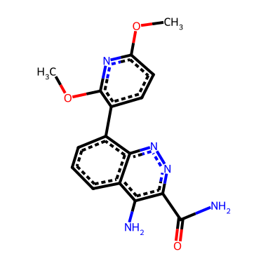 COc1ccc(-c2cccc3c(N)c(C(N)=O)nnc23)c(OC)n1